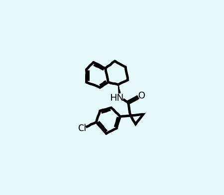 O=C(N[C@@H]1CCCc2ccccc21)C1(c2ccc(Cl)cc2)CC1